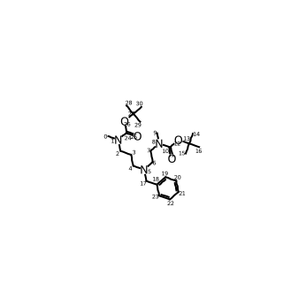 CN(CCCN(CCN(C)C(=O)OC(C)(C)C)Cc1ccccc1)C(=O)OC(C)(C)C